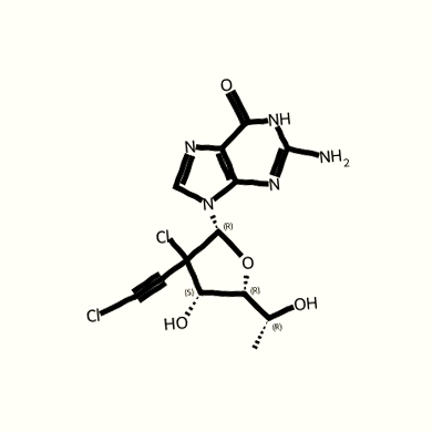 C[C@@H](O)[C@H]1O[C@@H](n2cnc3c(=O)[nH]c(N)nc32)C(Cl)(C#CCl)[C@H]1O